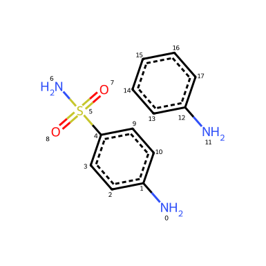 Nc1ccc(S(N)(=O)=O)cc1.Nc1ccccc1